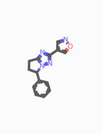 c1ccc(C2CCc3nc(-c4cnoc4)nn32)cc1